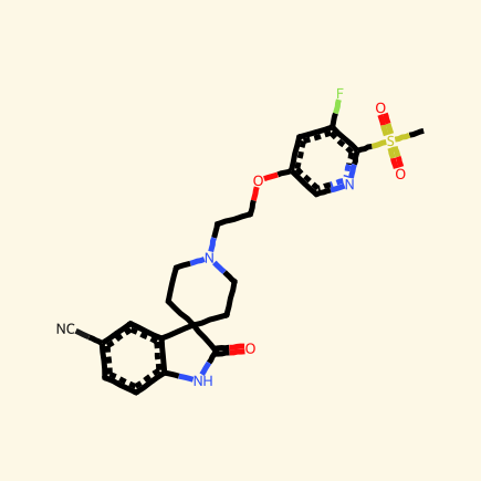 CS(=O)(=O)c1ncc(OCCN2CCC3(CC2)C(=O)Nc2ccc(C#N)cc23)cc1F